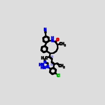 C=C/C(=C\C=C(/C)C1CCCC(C)C(=O)Nc2cc(C#N)ccc2-c2cccc1c2)c1cc(Cl)ccc1N1C=NNN1